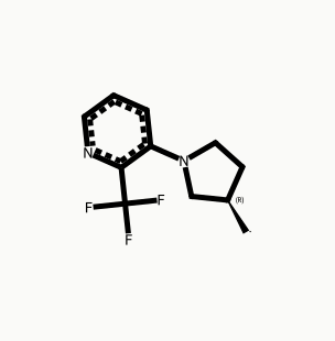 [CH2][C@@H]1CCN(c2cccnc2C(F)(F)F)C1